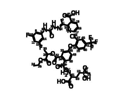 C/C(=N\NC(=O)Nc1cc(F)cc(F)c1)c1ncccc1C(=O)O.CCOC(=O)C(C)OC(=O)c1cc(Oc2ccc(C(F)(F)F)cc2Cl)ccc1[N+](=O)[O-].CP(=O)(O)CCC(N)C(=O)O